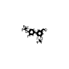 O=Cc1cc(OC(F)(F)F)cc(-c2ccc(OC(F)(F)F)c(F)c2)c1